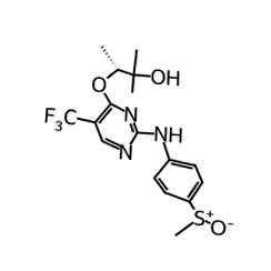 C[C@@H](Oc1nc(Nc2ccc([S+](C)[O-])cc2)ncc1C(F)(F)F)C(C)(C)O